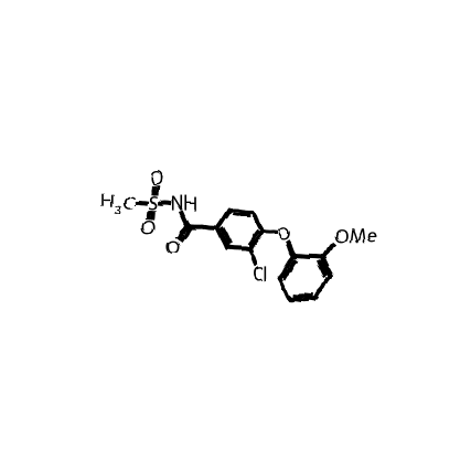 COc1ccccc1Oc1ccc(C(=O)NS(C)(=O)=O)cc1Cl